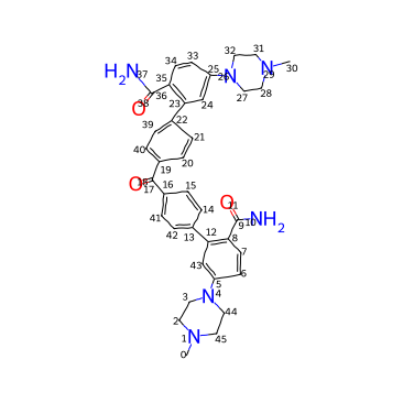 CN1CCN(c2ccc(C(N)=O)c(-c3ccc(C(=O)c4ccc(-c5cc(N6CCN(C)CC6)ccc5C(N)=O)cc4)cc3)c2)CC1